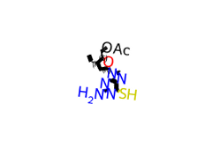 C=C[C@H]1C[C@H](n2cnc3c(S)nc(N)nc32)O[C@@H]1COC(C)=O